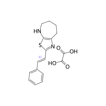 C(=C\c1nc2c(s1)NCCCC2)/c1ccccc1.O=C(O)C(=O)O